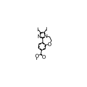 COC(=O)c1ccc2c(c1)OCCn1c-2nc(I)c1I